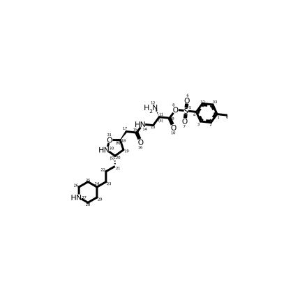 Cc1ccc(S(=O)(=O)OC(=O)[C@@H](N)CNC(=O)C[C@H]2C[C@H](CCCC3CCNCC3)NO2)cc1